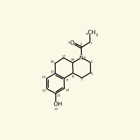 CCC(=O)N1CCCC2c3cc(O)ccc3CCC21